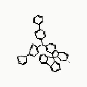 C[C@H]1C=CC2c3ccc(N(c4ccc(-c5ccccc5)cc4)c4ccc(-c5ccccc5)cc4)cc3C3(c4ccccc4-c4ccccc43)C2C1